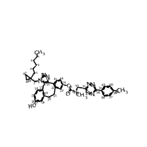 CCCCCCC1(Cn2nnc3c2-c2ccc(O)cc2CCc2cc(OC(=O)N(C)Cc4nnc(-c5ccc(C)cc5)nn4)ccc2-3)CC1